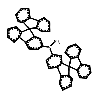 NN(c1ccc2c(c1)C1(c3ccccc3-c3ccccc31)c1ccccc1-2)c1ccc2c(c1)C1(c3ccccc3-c3ccccc31)c1ccccc1-2